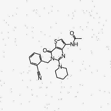 CC(=O)Nc1csc2c(=O)n(Cc3ccccc3C#N)c(N3CCCCC3)nc12